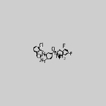 CC1c2ccc(C(=O)N(N)Cc3c(F)cc(F)cc3F)cc2N(Cc2c(Cl)[c]ccc2F)C(=O)N1C